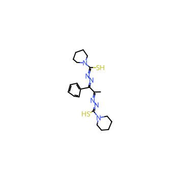 CC(=N\N=C(/S)N1CCCCC1)/C(=N/N=C(\S)N1CCCCC1)c1ccccc1